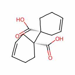 O=C(O)[C@@]1([C@]2(C(=O)O)CC=CCC2)CC=CCC1